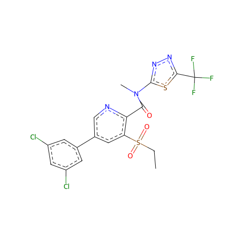 CCS(=O)(=O)c1cc(-c2cc(Cl)cc(Cl)c2)cnc1C(=O)N(C)c1nnc(C(F)(F)F)s1